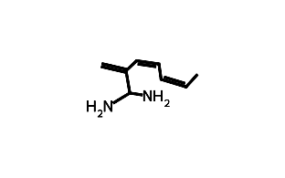 C=C(/C=C\C=C/C)C(N)N